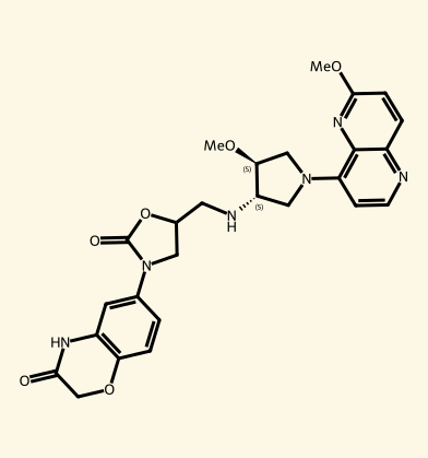 COc1ccc2nccc(N3C[C@H](NCC4CN(c5ccc6c(c5)NC(=O)CO6)C(=O)O4)[C@@H](OC)C3)c2n1